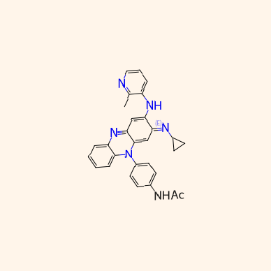 CC(=O)Nc1ccc(-n2c3c/c(=N\C4CC4)c(Nc4cccnc4C)cc-3nc3ccccc32)cc1